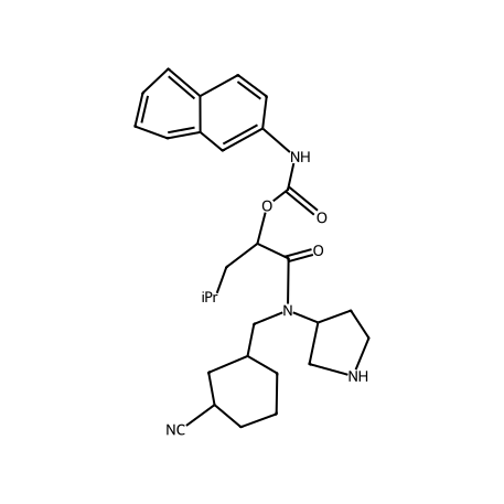 CC(C)CC(OC(=O)Nc1ccc2ccccc2c1)C(=O)N(CC1CCCC(C#N)C1)C1CCNC1